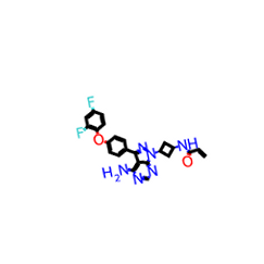 C=CC(=O)N[C@H]1C[C@@H](n2nc(-c3ccc(Oc4ccc(F)cc4F)cc3)c3c(N)ncnc32)C1